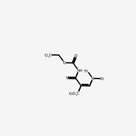 CCOC(=O)C(=CN(CC)CC)C(=S)NC(=O)OCC(Cl)(Cl)Cl